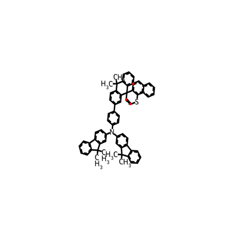 CC1(C)c2ccccc2-c2ccc(N(c3ccc(-c4ccc5c(c4)C4(c6ccccc6Sc6c4ccc4ccccc64)c4ccccc4C5(C)C)cc3)c3ccc4c(c3)C(C)(C)c3ccccc3-4)cc21